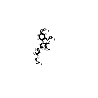 C#CC(=O)N(CC(=O)NCC(=O)OCC)c1ccc(OC)cc1OC